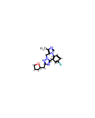 Cc1ncn2c1Cn1nc(CC3CCCO3)nc1-c1cc(F)ccc1-2